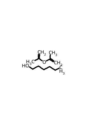 C=C(C)OC(=C)C.CCCCCCO